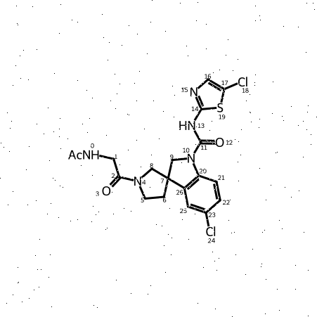 CC(=O)NCC(=O)N1CCC2(C1)CN(C(=O)Nc1ncc(Cl)s1)c1ccc(Cl)cc12